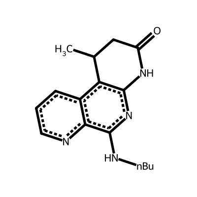 CCCCNc1nc2c(c3cccnc13)C(C)CC(=O)N2